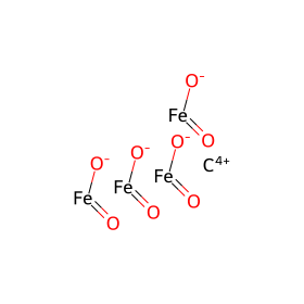 [C+4].[O]=[Fe][O-].[O]=[Fe][O-].[O]=[Fe][O-].[O]=[Fe][O-]